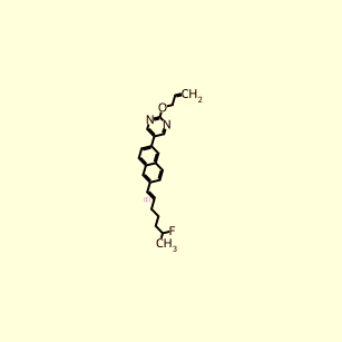 C=CCOc1ncc(-c2ccc3cc(/C=C/CCCC(C)F)ccc3c2)cn1